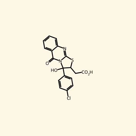 O=C(O)CC1Sc2nc3ccccc3c(=O)n2C1(O)c1ccc(Cl)cc1